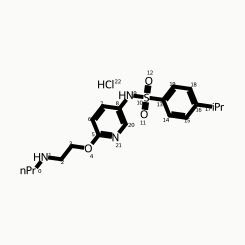 CCCNCCOc1ccc(NS(=O)(=O)c2ccc(C(C)C)cc2)cn1.Cl